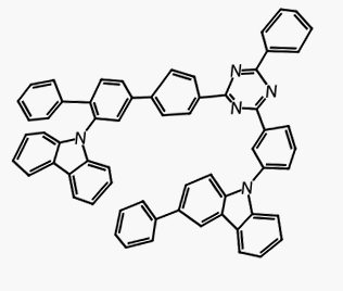 c1ccc(-c2ccc3c(c2)c2ccccc2n3-c2cccc(-c3nc(-c4ccccc4)nc(-c4ccc(-c5ccc(-c6ccccc6)c(-n6c7ccccc7c7ccccc76)c5)cc4)n3)c2)cc1